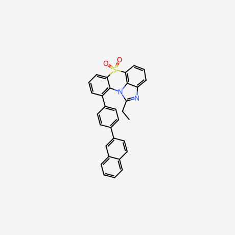 CCc1nc2cccc3c2n1-c1c(-c2ccc(-c4ccc5ccccc5c4)cc2)cccc1S3(=O)=O